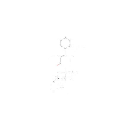 COC(C(=O)OC([SiH3])(O[Si](C)(C)C)C(C)(O[Si](C)(C)C)C(C)C)=C(OC)c1ccccc1OC